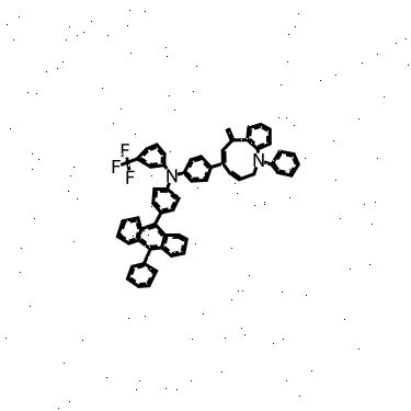 C=C1/C=C(c2ccc(N(c3ccc(-c4c5ccccc5c(-c5ccccc5)c5ccccc45)cc3)c3cccc(C(F)(F)F)c3)cc2)\C=C/CN(c2ccccc2)c2ccccc21